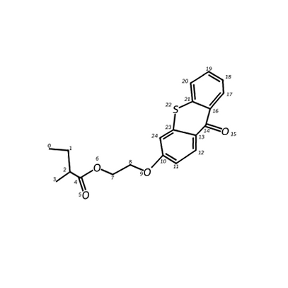 CCC(C)C(=O)OCCOc1ccc2c(=O)c3ccccc3sc2c1